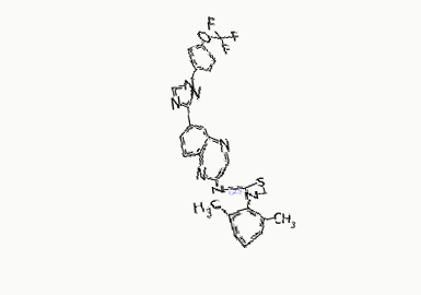 Cc1cccc(C)c1N1CS/C1=N\c1cnc2cc(-c3ncn(-c4ccc(OC(F)(F)F)cc4)n3)ccc2n1